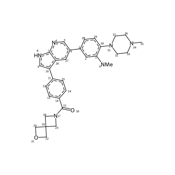 CNc1cc(-c2cnc3[nH]cc(-c4ccc(C(=O)N5CC6(COC6)C5)cc4)c3c2)ccc1N1CCN(C)CC1